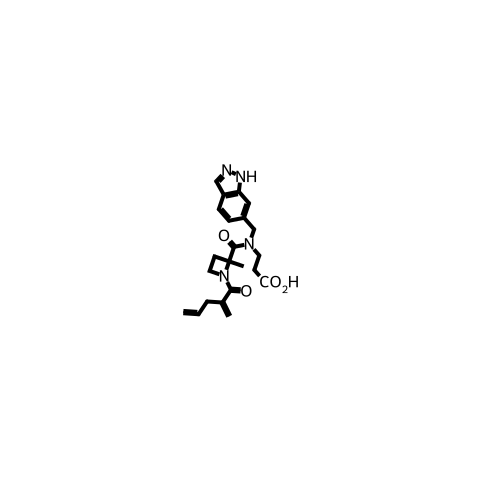 C=CCC(=C)C(=O)N1CCC1(C)C(=O)N(CCC(=O)O)Cc1ccc2cn[nH]c2c1